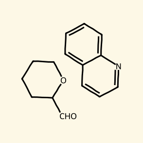 O=CC1CCCCO1.c1ccc2ncccc2c1